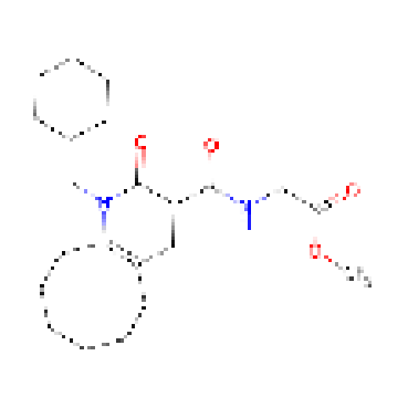 O=C(CNC(=O)c1cc2c(n(CC3CCCCC3)c1=O)CCCCCC2)OC(F)(F)F